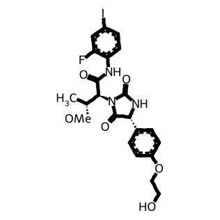 CO[C@H](C)[C@@H](C(=O)Nc1ccc(I)cc1F)N1C(=O)N[C@H](c2ccc(OCCO)cc2)C1=O